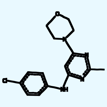 Cc1nc(Nc2ccc(Cl)cc2)cc(N2CCOCC2)n1